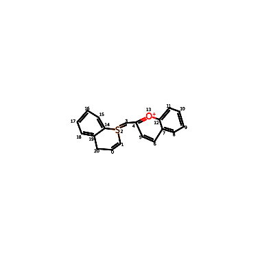 C1=CS(=Cc2ccc3ccccc3[o+]2)c2ccccc2C1